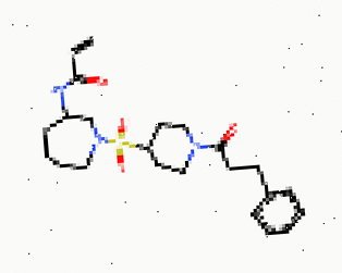 C=CC(=O)NC1CCCCN(S(=O)(=O)C2CCN(C(=O)CCc3ccccc3)CC2)C1